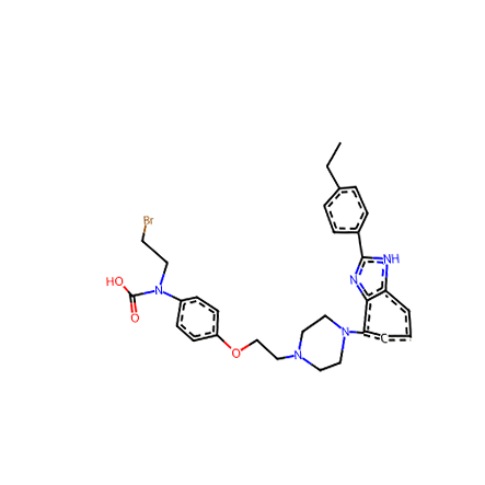 CCc1ccc(-c2nc3c(N4CCN(CCOc5ccc(N(CCBr)C(=O)O)cc5)CC4)cccc3[nH]2)cc1